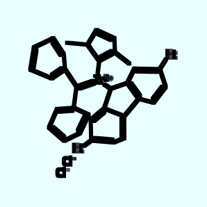 CCc1ccc2c(c1)[CH]([Zr+2]([C]1=C(C)C=CC1C)=[C](c1ccccc1)c1ccccc1)c1cc(CC)ccc1-2.[Cl-].[Cl-]